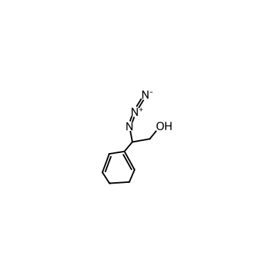 [N-]=[N+]=NC(CO)C1=CCCC=C1